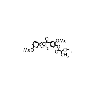 C=C(C)C(=O)Oc1ccc(C(=O)OCC2(C)C=CC=C(OC)C2)cc1OC